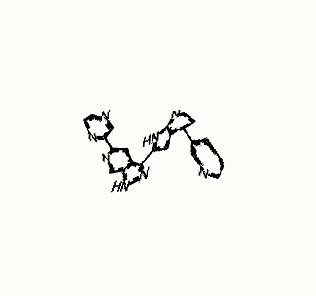 c1cncc(-c2ccnc3[nH]c(-c4n[nH]c5cnc(-c6cnccn6)cc45)cc23)c1